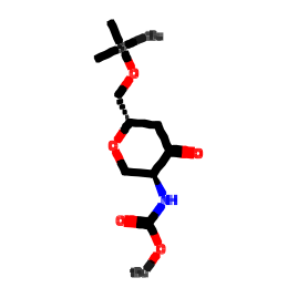 CC(C)(C)OC(=O)N[C@H]1CO[C@H](CO[Si](C)(C)C(C)(C)C)CC1=O